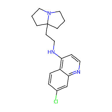 Clc1ccc2c(NCCC34CCCN3CCC4)ccnc2c1